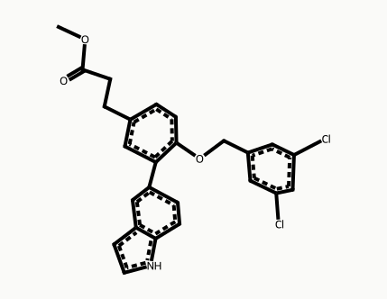 COC(=O)CCc1ccc(OCc2cc(Cl)cc(Cl)c2)c(-c2ccc3[nH]ccc3c2)c1